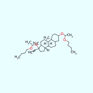 C#CC1(OC(C)OCCCC)CC[C@H]2[C@@H]3CCC4CC(OC(C)OCCCC)CC[C@]4(C)[C@@H]3CC[C@@]21C